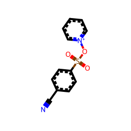 N#Cc1ccc(S(=O)(=O)O[n+]2ccccc2)cc1